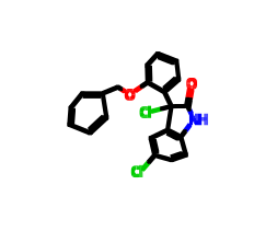 O=C1Nc2ccc(Cl)cc2C1(Cl)c1ccccc1OCc1ccccc1